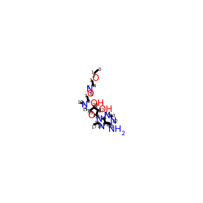 CCOCC=NOCCN(C)C[C@H]1O[C@@H](n2c(C)nc3c(N)ncnc32)C(O)C1O